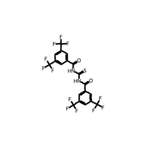 O=C(NC(=S)NC(=O)c1cc(C(F)(F)F)cc(C(F)(F)F)c1)c1cc(C(F)(F)F)cc(C(F)(F)F)c1